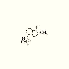 COC(=O)C1CCCc2c1ccc(C)c2F